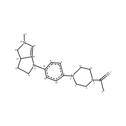 CC(=O)N1CCN(c2ccc(N3CCC4CN(C)C=C43)cc2)CC1